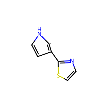 [c]1[nH]ccc1-c1nccs1